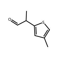 Cc1csc(C(C)C=O)c1